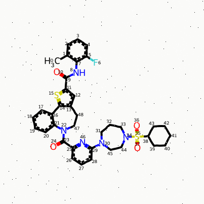 Cc1cccc(F)c1NC(=O)c1cc2c(s1)-c1ccccc1N(C(=O)c1cccc(N3CCCN(S(=O)(=O)C4CCCCC4)CC3)n1)CC2